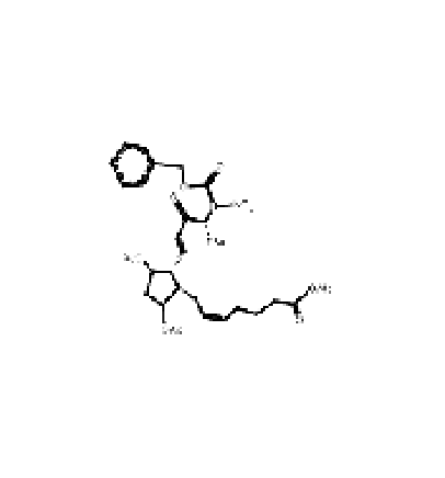 CCCC[C@H](C(=O)/C=C/[C@@H]1[C@@H](C/C=C\CCCC(=O)OC)[C@@H](OC(C)=O)C[C@H]1OC(C)=O)N(C(=O)OCc1ccccc1)[N+](=O)[O-]